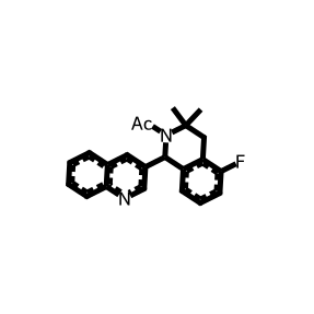 CC(=O)N1C(c2cnc3ccccc3c2)c2cccc(F)c2CC1(C)C